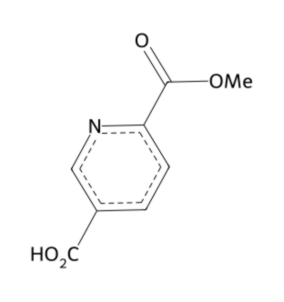 COC(=O)c1ccc(C(=O)O)cn1